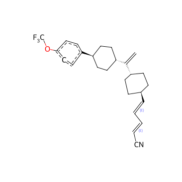 C=C([C@H]1CC[C@H](/C=C/C=C/C#N)CC1)[C@H]1CC[C@H](c2ccc(OC(F)(F)F)cc2)CC1